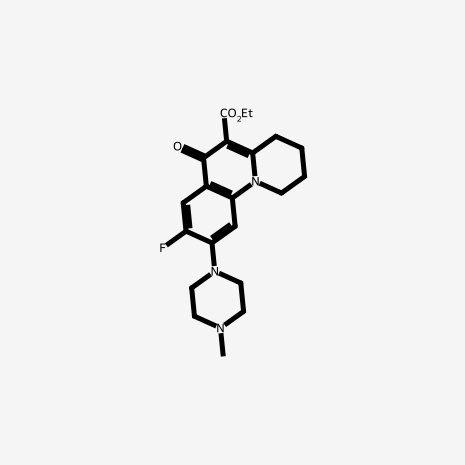 CCOC(=O)c1c2n(c3cc(N4CCN(C)CC4)c(F)cc3c1=O)CCCC2